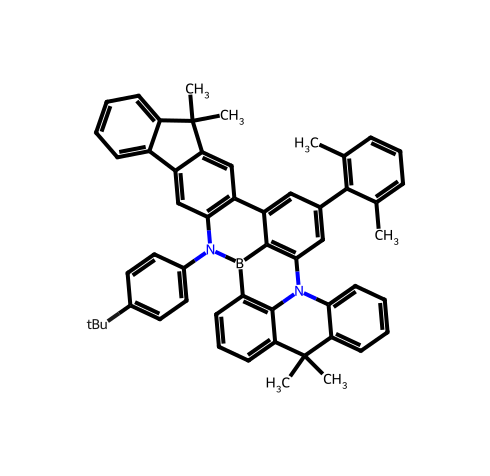 Cc1cccc(C)c1-c1cc2c3c(c1)N1c4ccccc4C(C)(C)c4cccc(c41)B3N(c1ccc(C(C)(C)C)cc1)c1cc3c(cc1-2)C(C)(C)c1ccccc1-3